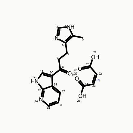 Cc1[nH]cnc1CCC(=O)c1c[nH]c2ncccc12.O=C(O)/C=C\C(=O)O